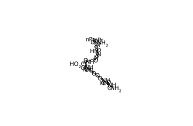 CCCN(CCC)C(=O)C1=Cc2ccc(C(=O)Nc3cnc4c(c3)CN(C(=O)CCCCCNC(=O)C(CC(=O)O)SCC(NC(=O)CCOCCOCCOCCOCCNC(=O)CNC(=O)CNC(=O)CN)C(N)=O)CC4)cc2N=C(N)C1